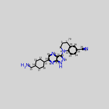 C[C@H]1CCN(c2n[nH]c3nc(C4CCC(CN)CC4)cnc23)c2ccc(C#N)cc21